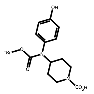 CC(C)(C)OC(=O)N(c1ccc(O)cc1)C1CCN(C(=O)O)CC1